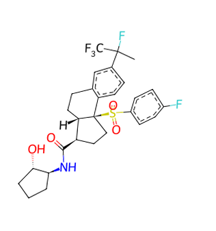 CC(F)(c1ccc2c(c1)CC[C@H]1[C@H](C(=O)N[C@H]3CCC[C@@H]3O)CC[C@@]21S(=O)(=O)c1ccc(F)cc1)C(F)(F)F